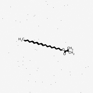 C=C(C)C(=O)OCCCCCCCCC=CC=CC=CCCCC